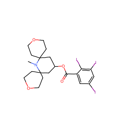 CN1C2(CCOCC2)CC(OC(=O)c2cc(I)cc(I)c2I)CC12CCOCC2